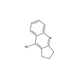 CC(=O)c1c2c(nc3ccccc13)CCC2